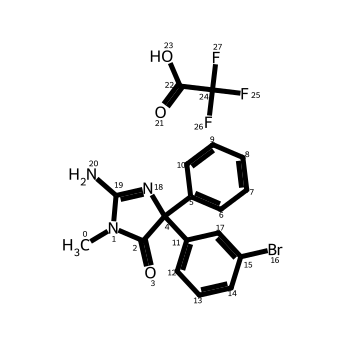 CN1C(=O)C(c2ccccc2)(c2cccc(Br)c2)N=C1N.O=C(O)C(F)(F)F